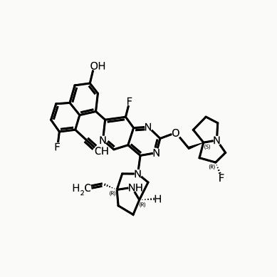 C#Cc1c(F)ccc2cc(O)cc(-c3ncc4c(N5C[C@H]6CC[C@@](C=C)(C5)N6)nc(OC[C@@]56CCCN5C[C@H](F)C6)nc4c3F)c12